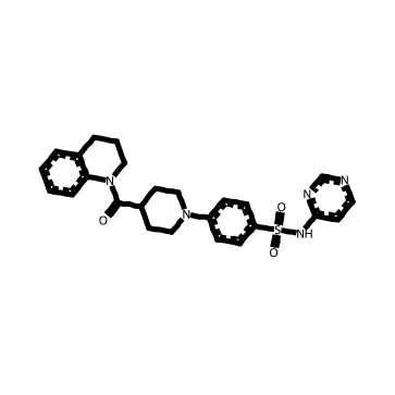 O=C(C1CCN(c2ccc(S(=O)(=O)Nc3ccncn3)cc2)CC1)N1CCCc2ccccc21